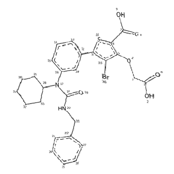 O=C(O)COc1c(C(=O)O)sc(-c2cccc(N(C(=O)NCc3ccccc3)C3CCCCC3)c2)c1Br